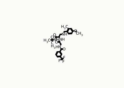 COc1ccc(CNCC(NC(=O)CNC(=O)c2cccc(C(F)(F)F)c2)C(=O)NC(C)(C)C)c(C)c1